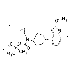 COc1cc2c(N3CCC(N(C(=O)OC(C)(C)C)C4CC4)CC3)cccn2n1